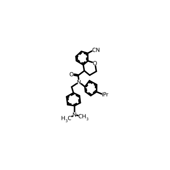 CC(C)c1ccc(N(Cc2ccc(N(C)C)cc2)C(=O)C2CCOc3c(C#N)cccc32)cc1